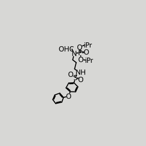 CC(C)OP(=O)(OC(C)C)N(C=O)CCCNS(=O)(=O)c1ccc(Oc2ccccc2)cc1